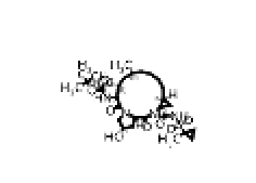 C[C@@H]1CCCC[C@H]2C[C@@]2(C(=O)NS(=O)(=O)C2(C)CC2)NC(=O)[C@@H]2C[C@@H](O)CN2C(=O)[C@@H](NC(=O)OC(C)(C)C)[C@H](C)C1